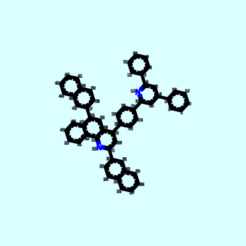 c1ccc(-c2cc(-c3ccccc3)nc(-c3ccc(-c4cc(-c5ccc6ccccc6c5)nc5c4cc(-c4ccc6ccccc6c4)c4ccccc45)cc3)c2)cc1